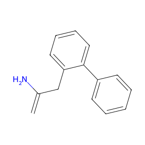 C=C(N)Cc1ccccc1-c1ccccc1